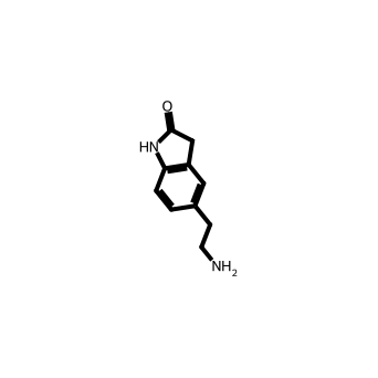 NCCc1ccc2c(c1)CC(=O)N2